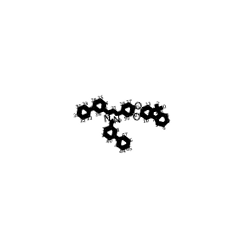 CC1(C)C2=C(C=CCC2)c2cc3c(cc21)Oc1ccc(-c2cc(-c4cccc(-c5ccccc5)c4)nc(-c4cccc(-c5ccccc5)c4)n2)cc1O3